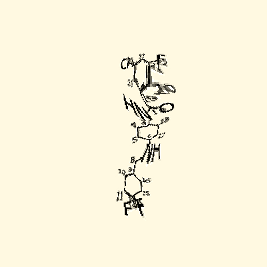 O=C(N[C@H]1CC[C@H](NCC2CCC(F)(F)CC2)CC1)c1cc(F)cc(Cl)c1